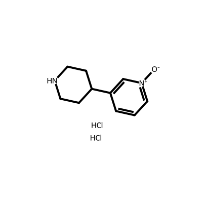 Cl.Cl.[O-][n+]1cccc(C2CCNCC2)c1